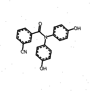 N#Cc1cccc(C(=O)N(c2ccc(O)cc2)c2ccc(O)cc2)c1